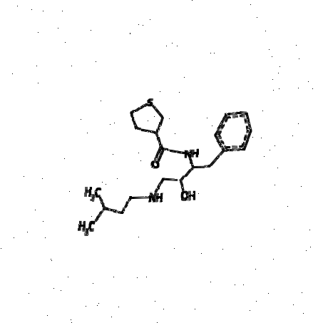 CC(C)CCNCC(O)C(Cc1ccccc1)NC(=O)C1CCSC1